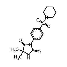 CC1(C)NC(=O)N(c2ccc(S(=O)(=O)N3CCCCC3)cc2)C1=O